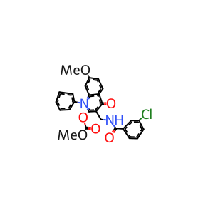 COC(=O)Oc1c(CNC(=O)c2cccc(Cl)c2)c(=O)c2ccc(OC)cc2n1-c1ccccc1